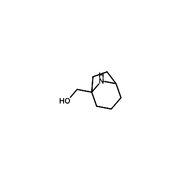 OCC12CCCC(CC1)N2